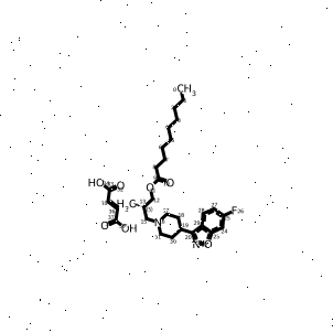 CCCCCCCCCC(=O)OC[C@@H](C)CN1CCC(c2noc3cc(F)ccc23)CC1.O=C(O)C=CC(=O)O